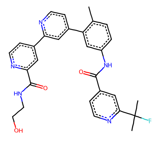 Cc1ccc(NC(=O)c2ccnc(C(C)(C)F)c2)cc1-c1ccnc(-c2ccnc(C(=O)NCCO)c2)c1